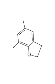 Cc1cc(C)c2c(c1)CCO2